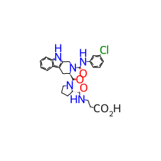 O=C(O)CCNC(=O)[C@@H]1CCCN1C(=O)[C@H]1Cc2c([nH]c3ccccc23)CN1C(=O)Nc1cccc(Cl)c1